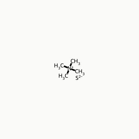 C[N+](C)(C)C.[S-2]